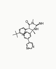 CN1C(=N)N[C@](C)(c2cccc(-c3cncnc3)c2)[C@@H](c2ccc(C(C)(C)C)nc2)C1=O